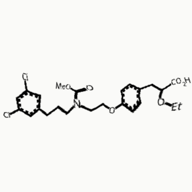 CCOC(Cc1ccc(OCCN(CCCc2cc(Cl)cc(Cl)c2)C(=O)OC)cc1)C(=O)O